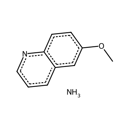 COc1ccc2ncccc2c1.N